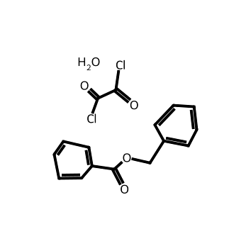 O.O=C(Cl)C(=O)Cl.O=C(OCc1ccccc1)c1ccccc1